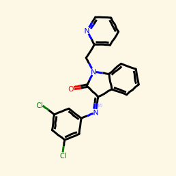 O=C1/C(=N\c2cc(Cl)cc(Cl)c2)c2ccccc2N1Cc1ccccn1